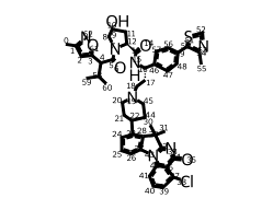 Cc1cc(C(C(=O)N2C[C@H](O)C[C@H]2C(=O)N[C@@H](CCN2CCC(c3cccc4c3C(C)(C)c3nc(=O)c5c(Cl)cccc5n3-4)CC2)c2ccc(-c3scnc3C)cc2)C(C)C)on1